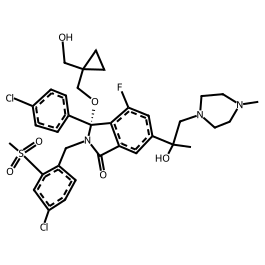 CN1CCN(CC(C)(O)c2cc(F)c3c(c2)C(=O)N(Cc2ccc(Cl)cc2S(C)(=O)=O)[C@@]3(OCC2(CO)CC2)c2ccc(Cl)cc2)CC1